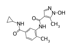 Cc1ccc(C(=O)NC2CC2)cc1NC(=O)c1cnn(O)c1C